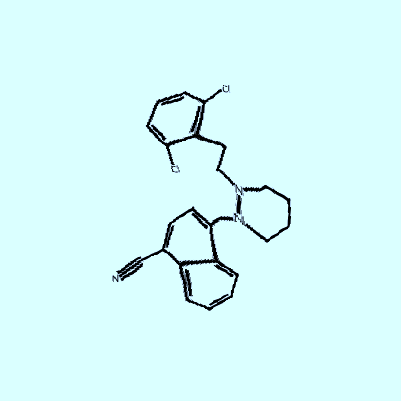 N#Cc1ccc(N2CCCCN2CCc2c(Cl)cccc2Cl)c2ccccc12